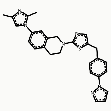 Cc1cn(-c2ccc3c(c2)CN(c2ncc(Cc4ccc(-n5cccn5)cc4)s2)CC3)c(C)n1